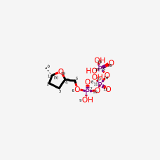 C[C@H]1CCC(COP(=O)(O)OP(=O)(O)OP(=O)(O)O)O1